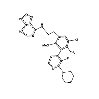 COc1c(CCNc2ncnc3[nH]cnc23)cc(Cl)c(C)c1-c1ccnc(N2CCOCC2)c1F